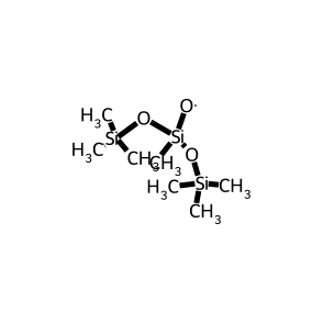 C[Si](C)(C)O[Si](C)([O])O[Si](C)(C)C